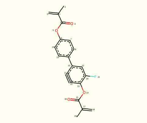 C=C(C)C(=O)Oc1ccc(-c2c#cc(OC(=O)C(=C)C)c(F)c2)cc1